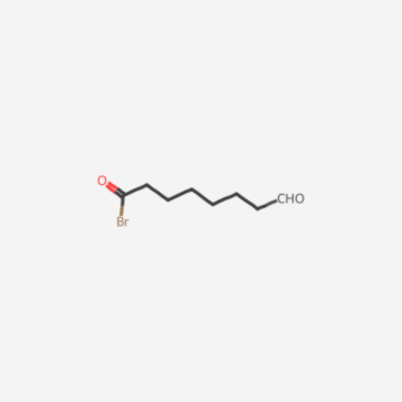 O=CCCCCCCC(=O)Br